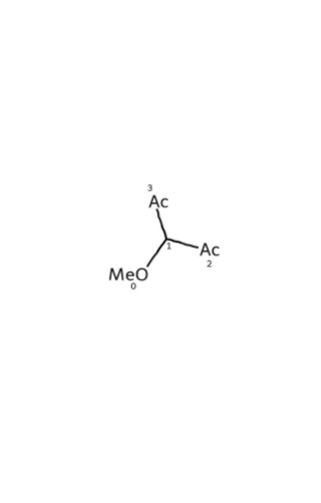 COC(C(C)=O)C(C)=O